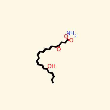 CC/C=C\C[C@H](O)/C=C/C=C\C\C=C/C=C/C=C/C1OC1CCC(=O)ON